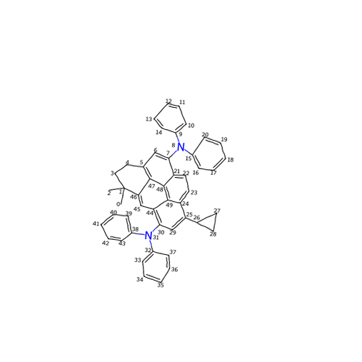 CC1(C)CCc2cc(N(c3ccccc3)c3ccccc3)c3ccc4c(C5CC5)cc(N(c5ccccc5)c5ccccc5)c5cc1c2c3c45